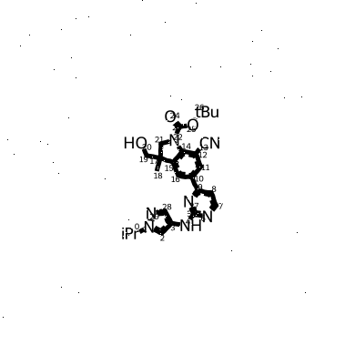 CC(C)n1cc(Nc2nccc(-c3cc(C#N)c4c(c3)C(C)(CO)CN4C(=O)OC(C)(C)C)n2)cn1